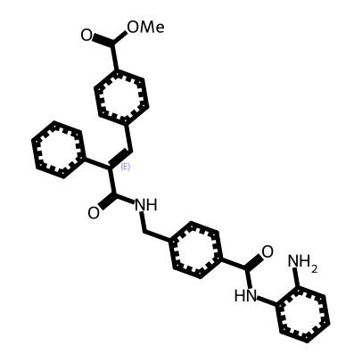 COC(=O)c1ccc(/C=C(/C(=O)NCc2ccc(C(=O)Nc3ccccc3N)cc2)c2ccccc2)cc1